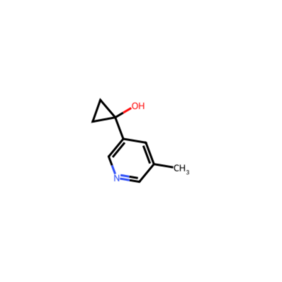 Cc1cncc(C2(O)CC2)c1